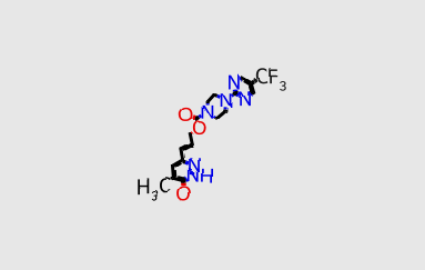 Cc1cc(/C=C/COC(=O)N2CCN(c3ncc(C(F)(F)F)cn3)CC2)n[nH]c1=O